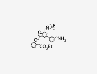 CCOC(=O)Cc1ccccc1OCc1coc2c(CN3CCC(F)(F)C3)cc(-c3cccc(CN)c3)cc12